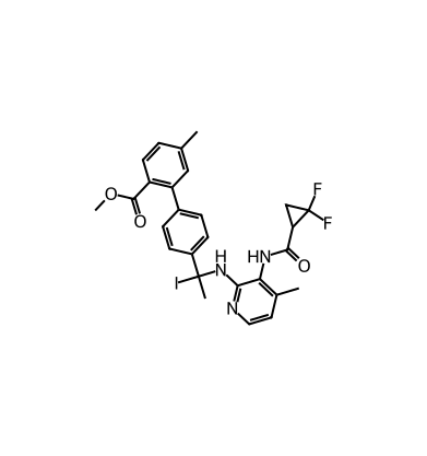 COC(=O)c1ccc(C)cc1-c1ccc(C(C)(I)Nc2nccc(C)c2NC(=O)C2CC2(F)F)cc1